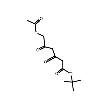 CC(=O)OCC(=O)CC(=O)CC(=O)OC(C)(C)C